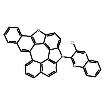 Clc1nc2ccccc2nc1-n1c2ccc3cccc4c3c2c2c3c(ccc21)oc1c2ccccc2cc-4c13